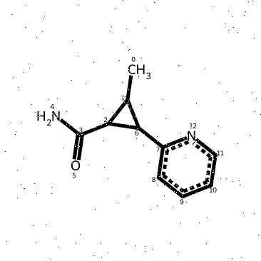 CC1C(C(N)=O)C1c1ccccn1